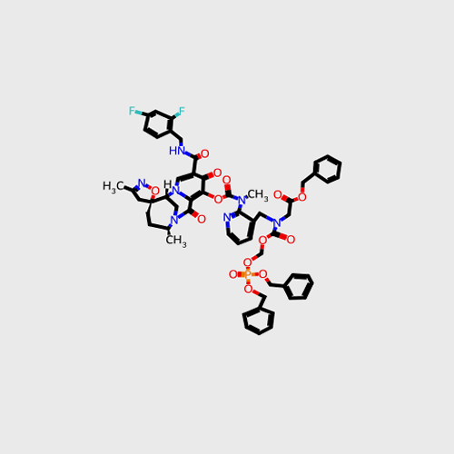 CC1=NO[C@@]2(CC[C@H](C)N3C[C@H]2n2cc(C(=O)NCc4ccc(F)cc4F)c(=O)c(OC(=O)N(C)c4ncccc4CN(CC(=O)OCc4ccccc4)C(=O)OCOP(=O)(OCc4ccccc4)OCc4ccccc4)c2C3=O)C1